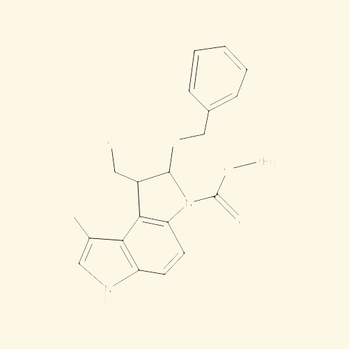 Cc1c[nH]c2ccc3c(c12)C(CCl)C(OCc1ccccc1)N3C(=O)OC(C)(C)C